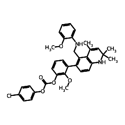 COc1ccccc1NCc1c(-c2cccc(OC(=O)Oc3ccc(Cl)cc3)c2OC)ccc2c1C(C)=CC(C)(C)N2